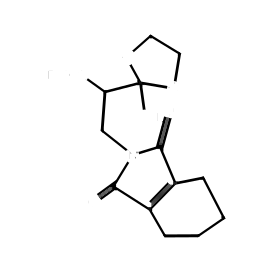 CCOC(=O)C(CN1C(=O)C2=C(CCCC2)C1=O)C1(C)OCCO1